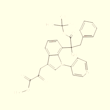 COC(=O)C(=O)Cc1cn(-c2ccncc2)c2c(C(N)(Cc3ccccc3)C(=O)OC(C)(C)C)cccc12